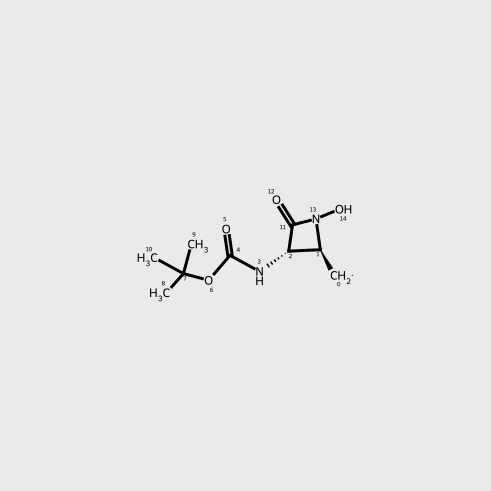 [CH2][C@H]1[C@H](NC(=O)OC(C)(C)C)C(=O)N1O